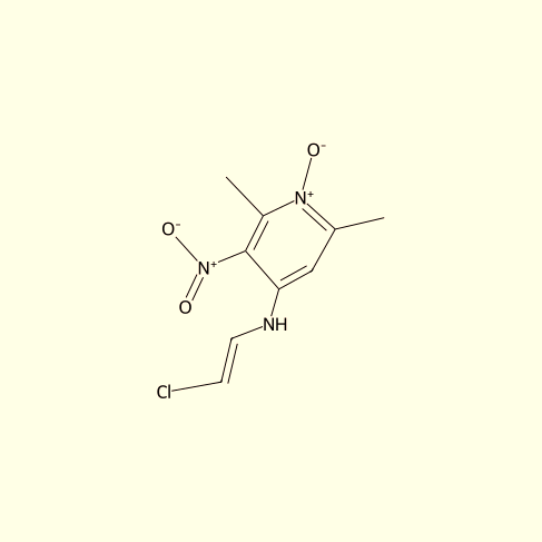 Cc1cc(NC=CCl)c([N+](=O)[O-])c(C)[n+]1[O-]